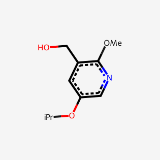 COc1ncc(OC(C)C)cc1CO